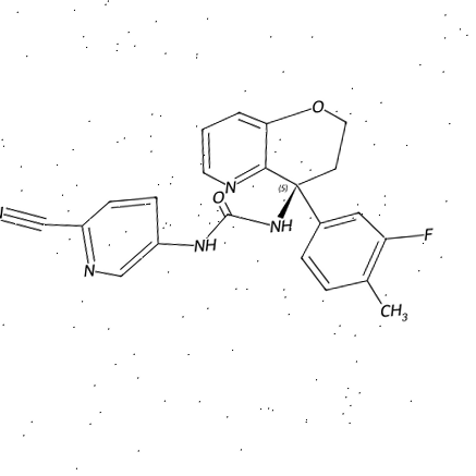 Cc1ccc([C@@]2(NC(=O)Nc3ccc(C#N)nc3)CCOc3cccnc32)cc1F